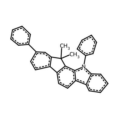 CC1(C)c2cc(-c3ccccc3)ccc2-c2ccc3c4ccccc4n(-c4ccccc4)c3c21